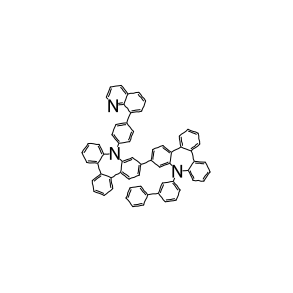 c1ccc(-c2cccc(N3c4ccccc4-c4ccccc4-c4ccc(-c5ccc6c(c5)N(c5ccc(-c7cccc8cccnc78)cc5)c5ccccc5-c5ccccc5-6)cc43)c2)cc1